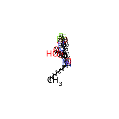 CCCCCCCCCCCc1noc(-c2ccc(C(Cc3ccc(S(=O)(=O)C(F)(F)F)cc3)NC(=O)C(=O)O)cc2)n1